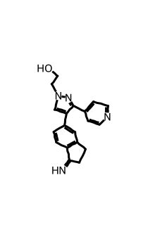 N=C1CCc2cc(-c3cn(CCO)nc3-c3ccncc3)ccc21